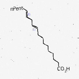 CCCCC/C=C/C/C=C/CCCCCCCCC(=O)O